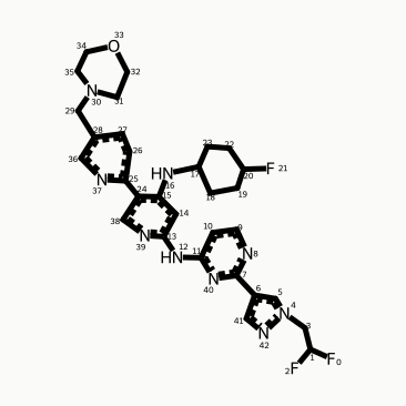 FC(F)Cn1cc(-c2nccc(Nc3cc(NC4CCC(F)CC4)c(-c4ccc(CN5CCOCC5)cn4)cn3)n2)cn1